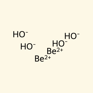 [Be+2].[Be+2].[OH-].[OH-].[OH-].[OH-]